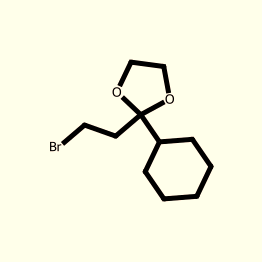 BrCCC1(C2CCCCC2)OCCO1